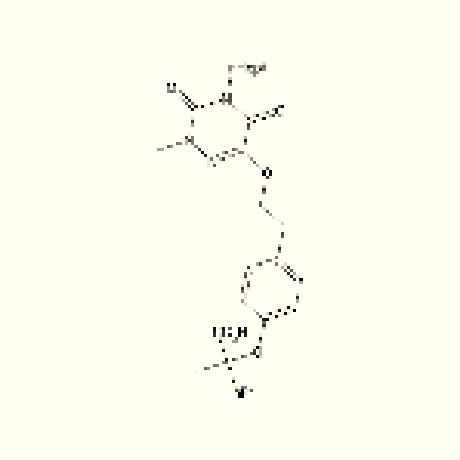 CCCCCCCn1c(=O)c(OCCc2ccc(OC(C)(CCC)C(=O)O)cc2)nn(C)c1=O